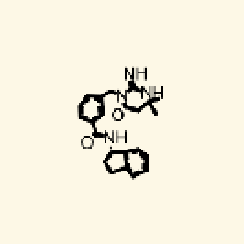 CC1(C)CC(=O)N(Cc2cccc(C(=O)N[C@H]3CCc4ccccc43)c2)C(=N)N1